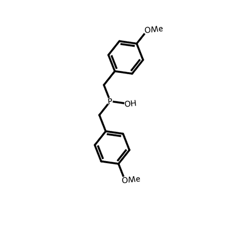 COc1ccc(CP(O)Cc2ccc(OC)cc2)cc1